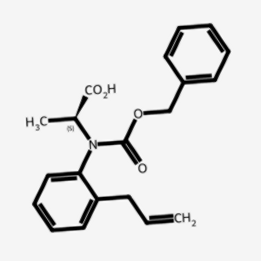 C=CCc1ccccc1N(C(=O)OCc1ccccc1)[C@@H](C)C(=O)O